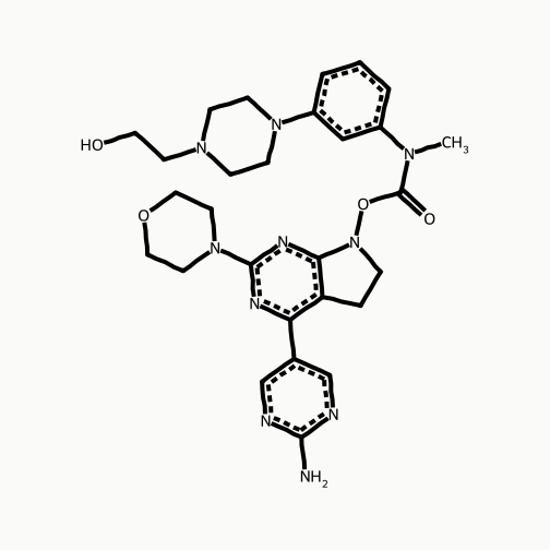 CN(C(=O)ON1CCc2c(-c3cnc(N)nc3)nc(N3CCOCC3)nc21)c1cccc(N2CCN(CCO)CC2)c1